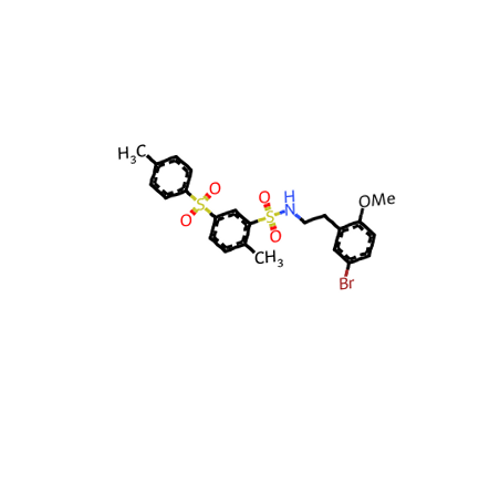 COc1ccc(Br)cc1CCNS(=O)(=O)c1cc(S(=O)(=O)c2ccc(C)cc2)ccc1C